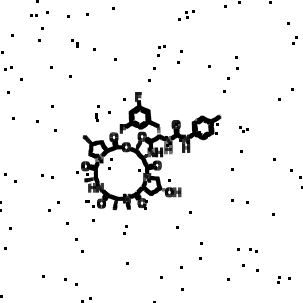 Cc1ccc(NC(=O)N[C@@H](Cc2cc(F)cc(F)c2)C(=O)N[C@@H]2C(=O)N3C[C@H](O)CC3C(=O)N(C)[C@@H](C)C(=O)N[C@@H](C)C(=O)N3C[C@@H](C)CC3C(=O)O[C@H]2C)cc1